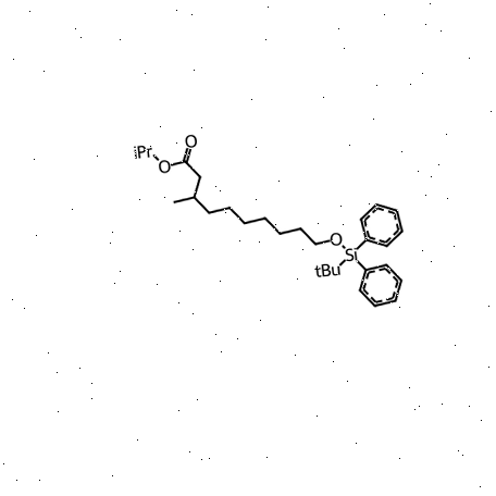 [CH2]C([CH2])OC(=O)CC(C)CCCCCCCO[Si](c1ccccc1)(c1ccccc1)C(C)(C)C